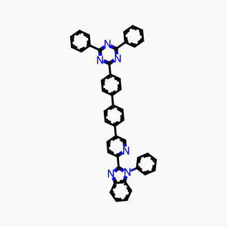 c1ccc(-c2nc(-c3ccccc3)nc(-c3ccc(-c4ccc(-c5ccc(-c6nc7ccccc7n6-c6ccccc6)nc5)cc4)cc3)n2)cc1